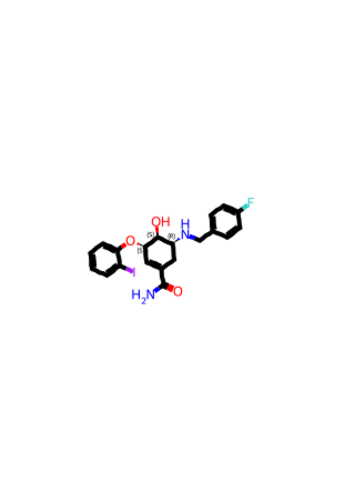 NC(=O)C1=C[C@H](Oc2ccccc2I)[C@@H](O)[C@H](NCc2ccc(F)cc2)C1